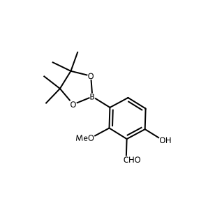 COc1c(B2OC(C)(C)C(C)(C)O2)ccc(O)c1C=O